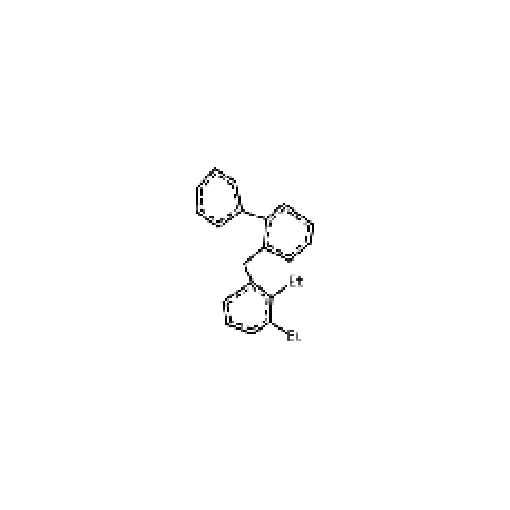 CCc1cccc(Cc2ccccc2-c2ccccc2)c1CC